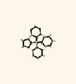 C1CCC([Si](C2CCCCC2)(C2CCCCC2)C2CCCC2)CC1